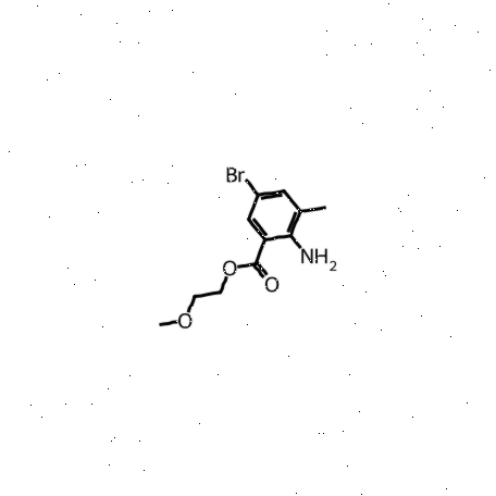 COCCOC(=O)c1cc(Br)cc(C)c1N